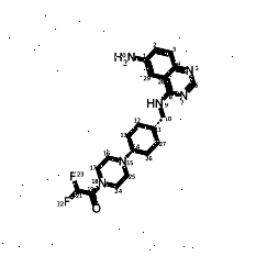 Nc1ccc2ncnc(NC[C@H]3CC[C@H](N4CCN(C(=O)C(F)F)CC4)CC3)c2c1